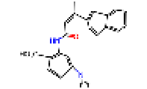 CCCNc1ccc(C(=O)O)c(NC(=O)/C=C(/C)c2ccc3ccccc3c2)c1